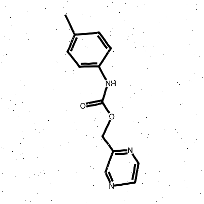 Cc1ccc(NC(=O)OCc2cnccn2)cc1